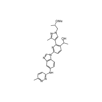 COC(C)Cn1cc(-c2nc(-n3cnc4cc(Nc5ccc(C)nn5)ccc43)ccc2C(C)O)c(C)n1